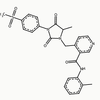 Cc1ccccc1NC(=O)c1cnccc1CN1C(=O)N(c2ccc(S(=O)(=O)C(F)(F)F)cc2)C(=O)C1C